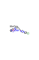 COc1ccc(CCCCN2CCN(c3ccc(Cl)cc3)CC2)cc1N(Cc1cc2ccccc2o1)C(=N)N